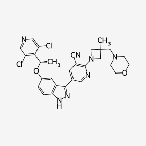 C[C@@H](Oc1ccc2[nH]nc(-c3cnc(N4CC(C)(CN5CCOCC5)C4)c(C#N)c3)c2c1)c1c(Cl)cncc1Cl